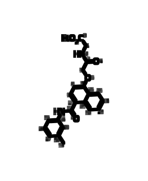 CCOC(=O)CNC(=O)COc1ccc(C(=O)Nc2cccc(C)c2)c2ccccc12